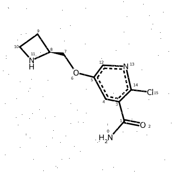 NC(=O)c1cc(OC[C@@H]2CCN2)cnc1Cl